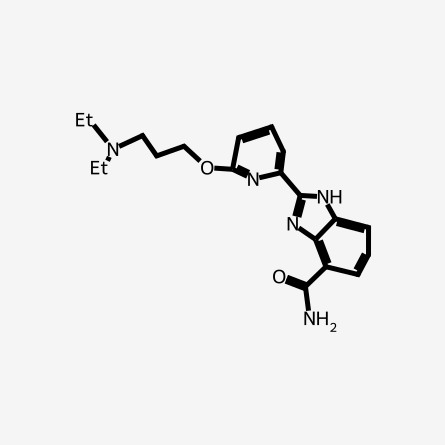 CCN(CC)CCCOc1cccc(-c2nc3c(C(N)=O)cccc3[nH]2)n1